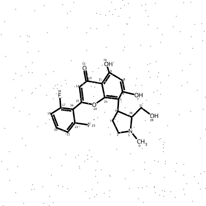 CN1CCC(c2c(O)cc(O)c3c(=O)cc(-c4c(F)cccc4F)oc23)C1CO